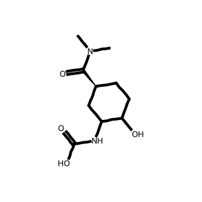 CN(C)C(=O)[C@H]1CCC(O)C(NC(=O)O)C1